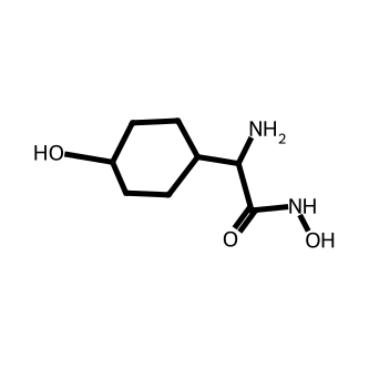 NC(C(=O)NO)C1CCC(O)CC1